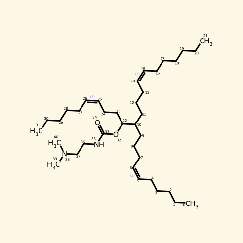 CCCCC/C=C\CCCC(CCC/C=C\CCCCCC)C(CC/C=C\CCCCC)OC(=O)NCCN(C)C